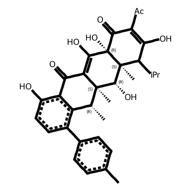 CC(=O)C1=C(O)C(C(C)C)[C@@]2(C)[C@H](O)[C@]3(C)C(=C(O)[C@@]2(O)C1=O)C(=O)c1c(O)ccc(-c2ccc(C)cc2)c1[C@H]3C